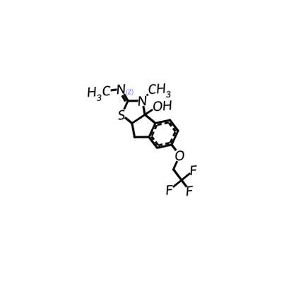 C/N=C1\SC2Cc3cc(OCC(F)(F)F)ccc3C2(O)N1C